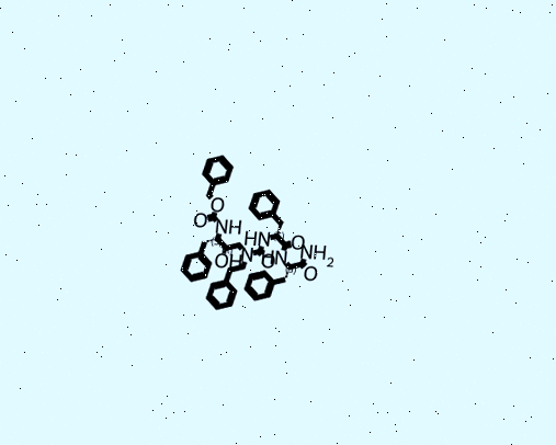 NC(=O)[C@H](Cc1ccccc1)NC(=O)[C@H](Cc1ccccc1)NC(=O)N(CCc1ccccc1)C[C@@H](O)[C@H](Cc1ccccc1)NC(=O)OCc1ccccc1